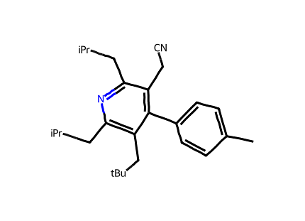 Cc1ccc(-c2c(CC#N)c(CC(C)C)nc(CC(C)C)c2CC(C)(C)C)cc1